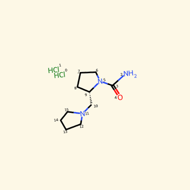 Cl.Cl.NC(=O)N1C[CH]C[C@H]1CN1CCCC1